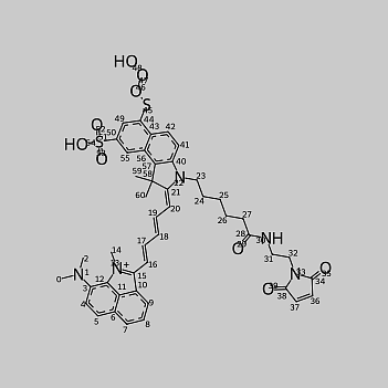 CN(C)c1ccc2cccc3c2c1[N+](C)=C3/C=C/C=C/C=C1/N(CCCCCC(=O)NCCN2C(=O)C=CC2=O)c2ccc3c(SOOO)cc(S(=O)(=O)O)cc3c2C1(C)C